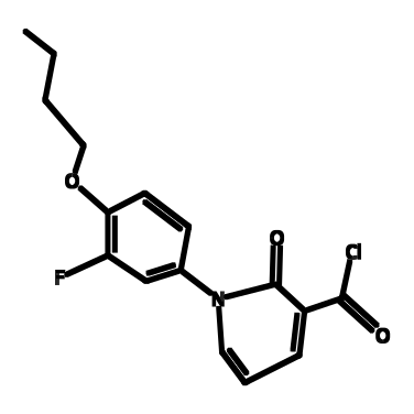 CCCCOc1ccc(-n2cccc(C(=O)Cl)c2=O)cc1F